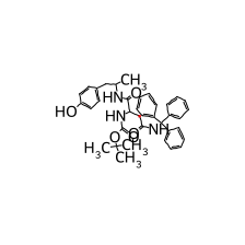 CC(Cc1ccc(O)cc1)NC(=O)C(CC(=O)NC(c1ccccc1)(c1ccccc1)c1ccccc1)NC(=O)OC(C)(C)C